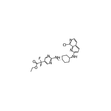 CCOC(=O)C(F)(F)c1cnc(NC[C@H]2CC[C@H](Nc3ccc4ccnc(Cl)c4n3)CC2)nc1